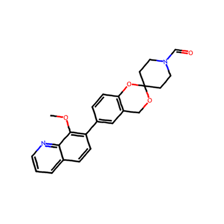 COc1c(-c2ccc3c(c2)COC2(CCN(C=O)CC2)O3)ccc2cccnc12